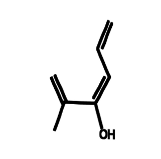 C=C/C=C(/O)C(=C)C